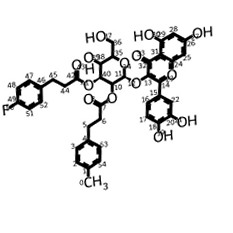 Cc1ccc(CCC(=O)OC2[C@H](Oc3c(-c4ccc(O)c(O)c4)oc4cc(O)cc(O)c4c3=O)OC(CO)C(O)[C@@H]2OC(=O)CCc2ccc(F)cc2)cc1